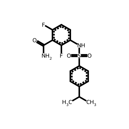 CC(C)c1ccc(S(=O)(=O)Nc2ccc(F)c(C(N)=O)c2F)cc1